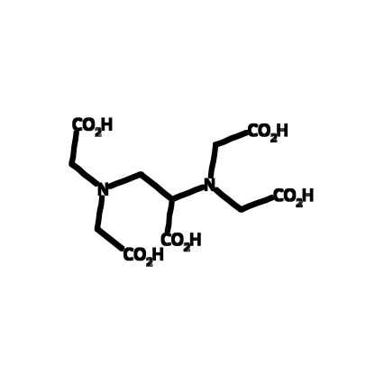 O=C(O)CN(CC(=O)O)CC(C(=O)O)N(CC(=O)O)CC(=O)O